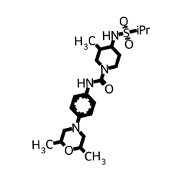 CC1CN(c2ccc(NC(=O)N3CCC(NS(=O)(=O)C(C)C)C(C)C3)cc2)CC(C)O1